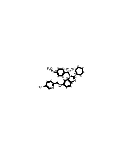 Cc1ccc(COc2ccc3nc([C@@H]4CCCC[C@H]4C(=O)O)n(Cc4ccc(OC(F)(F)F)cc4)c3c2)nc1